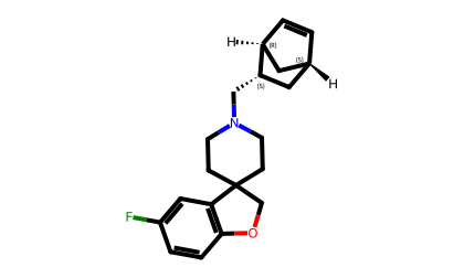 Fc1ccc2c(c1)C1(CCN(C[C@H]3C[C@H]4C=C[C@H]3C4)CC1)CO2